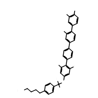 CCCCCc1ccc(C(F)(F)Oc2cc(F)c(-c3ccc(-c4ccc(-c5ccc(F)c(F)c5)c(F)c4)cc3)c(F)c2)cc1